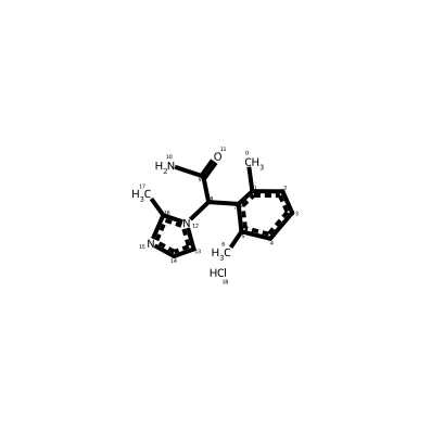 Cc1cccc(C)c1C(C(N)=O)n1ccnc1C.Cl